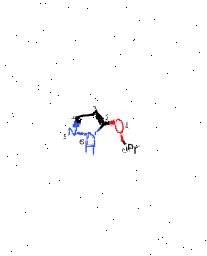 CC(C)Oc1c[c]n[nH]1